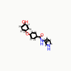 O=C(NC1CC2CNC1C2)c1ccc(Oc2ccc(O)cc2)cc1